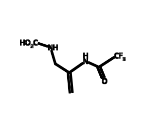 C=C(CNC(=O)O)NC(=O)C(F)(F)F